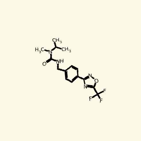 CC(C)N(C)C(=O)NCc1ccc(-c2noc(C(F)(F)F)n2)cc1